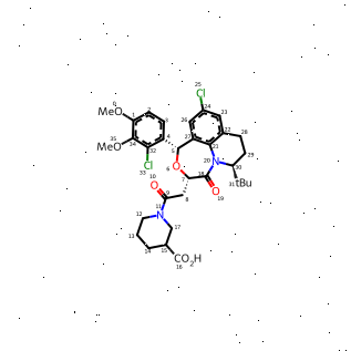 COc1ccc([C@H]2O[C@@H](CC(=O)N3CCCC(C(=O)O)C3)C(=O)N3c4c(cc(Cl)cc42)CC[C@H]3C(C)(C)C)c(Cl)c1OC